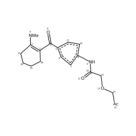 CNC1=C(C(=O)c2ccc(NC(=O)COCC(C)=O)cc2)CCCC1